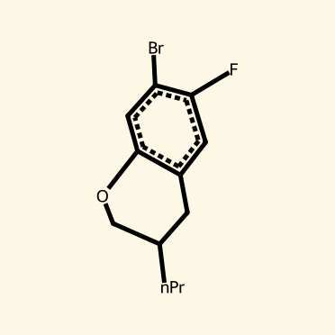 CCCC1COc2cc(Br)c(F)cc2C1